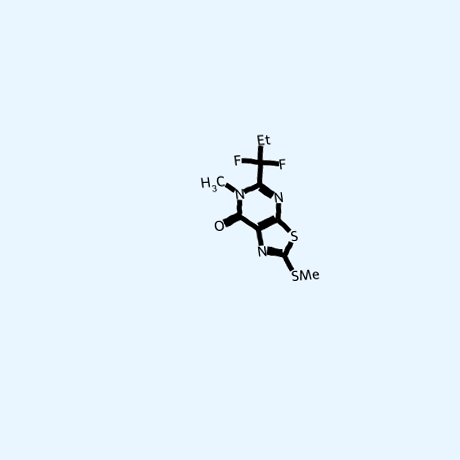 CCC(F)(F)c1nc2sc(SC)nc2c(=O)n1C